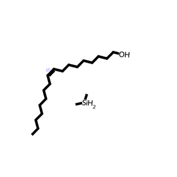 CCCCCCCC/C=C\CCCCCCCCO.C[SiH2]C